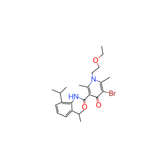 CCOCCn1c(C)c(Br)c(=O)c(C(=O)Nc2c(C(C)C)cccc2C(C)C)c1C